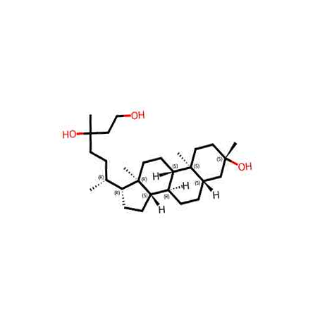 C[C@H](CCC(C)(O)CCO)[C@H]1CC[C@H]2[C@@H]3CC[C@H]4C[C@@](C)(O)CC[C@]4(C)[C@H]3CC[C@]12C